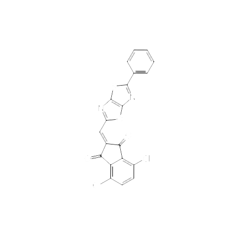 O=C1C(=Cc2nc3sc(-c4ccccc4)nc3o2)C(=O)c2c(Cl)ccc(Cl)c21